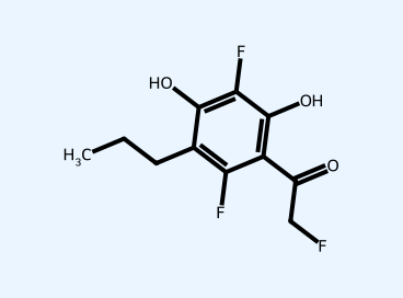 CCCc1c(O)c(F)c(O)c(C(=O)CF)c1F